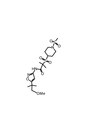 COCC(C)(C)c1cc(NC(=O)C(C)(C)S(=O)(=O)C2CCN(S(C)(=O)=O)CC2)no1